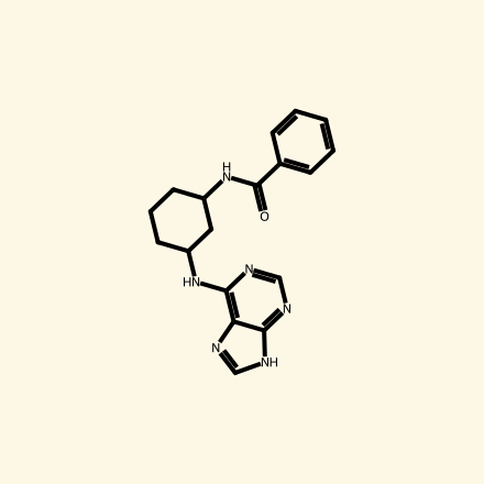 O=C(NC1CCCC(Nc2ncnc3[nH]cnc23)C1)c1ccccc1